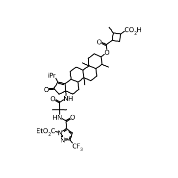 CCOC(=O)n1nc(C(F)(F)F)cc1C(=O)NC(C)(C)C(=O)NC12CCC3C(CCC4C3(C)CCC3C(C)C(OC(=O)C5CC(C(=O)O)C5C)CCC34C)C1=C(C(C)C)C(=O)C2